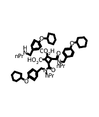 CCCN(Cc1ccc(OC2CCCCC2)cc1)C(=O)C1C(C(=O)O)C(C(=O)O)C1C(=O)N(CCC)Cc1ccc(OC2CCCCC2)cc1.CCCNCc1ccc(OC2CCCCC2)cc1